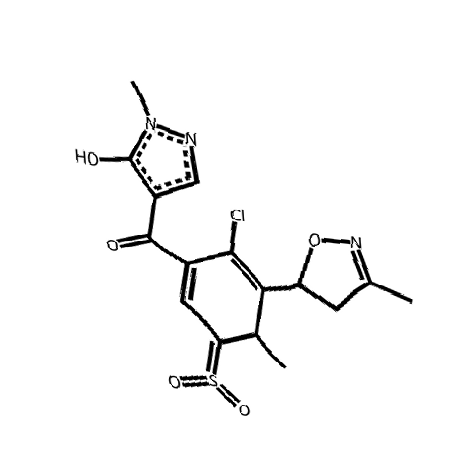 CC1=NOC(C2=C(Cl)C(C(=O)c3cnn(C)c3O)=CC(=S(=O)=O)C2C)C1